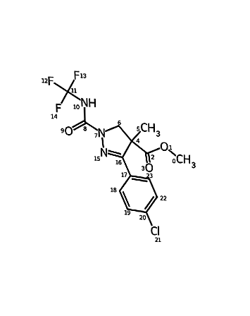 COC(=O)C1(C)CN(C(=O)NC(F)(F)F)N=C1c1ccc(Cl)cc1